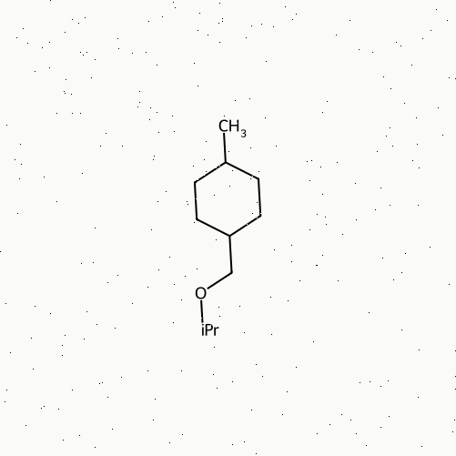 CC1CCC(COC(C)C)CC1